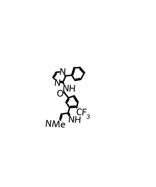 CN/C=C\C(=N)c1cc(C(=O)Nc2nccnc2-c2ccccc2)ccc1C(F)(F)F